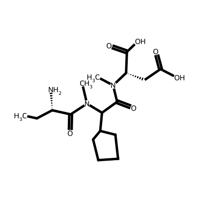 CC[C@H](N)C(=O)N(C)C(C(=O)N(C)[C@@H](CC(=O)O)C(=O)O)C1CCCC1